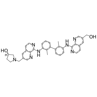 Cc1c(Nc2nccc3cc(CO)cnc23)cccc1-c1cccc(Nc2nccc3cc(CN4CC[C@@H](O)C4)cnc23)c1C